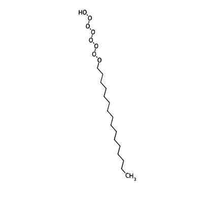 CCCCCCCCCCCCCCCCOOOOOOOO